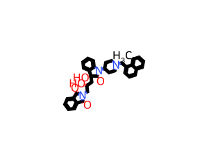 Cc1cccc2cccc(CN3CCC(N4C(=O)C(O)(CC(O)CN5C(=O)c6ccccc6C5=O)c5ccccc54)CC3)c12